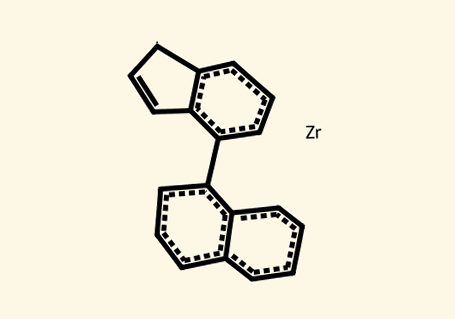 [CH]1C=Cc2c1cccc2-c1cccc2ccccc12.[Zr]